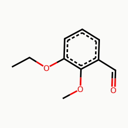 CCOc1cccc(C=O)c1OC